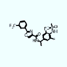 CC(NC(=O)c1coc(-c2cccc(C(F)(F)F)c2)n1)c1cc(F)c(NS(C)(=O)=O)c(F)c1